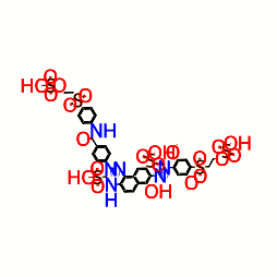 COc1cc(S(=O)(=O)CCOS(=O)(=O)O)c(OC)cc1/N=N/c1c(S(=O)(=O)O)cc2c(/N=N/c3ccc(C(=O)Nc4ccc(S(=O)(=O)CCOS(=O)(=O)O)cc4)cc3)c(NCS(=O)(=O)O)ccc2c1O